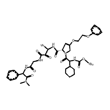 CCCC(NC(=O)[C@@H]1CC(OCCOc2ccccc2)CN1C(=O)C(NC(=O)OC(C)(C)C)C1CCCCC1)C(=O)C(=O)NCC(=O)NC(C(=O)N(C)C)c1ccccc1